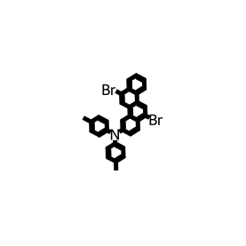 Cc1ccc(N(c2ccc(C)cc2)c2ccc3c(Br)cc4c5ccccc5c(Br)cc4c3c2)cc1